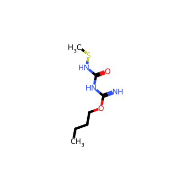 CCCCOC(=N)NC(=O)NSC